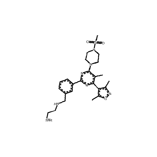 CNCCNCc1cccc(-c2nc(-c3c(C)noc3C)c(C)c(N3CCN(S(C)(=O)=O)CC3)n2)c1